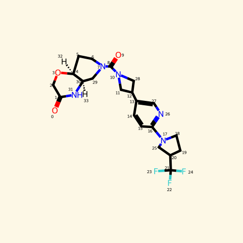 O=C1CO[C@H]2CCN(C(=O)N3CC(c4ccc(N5CCC(C(F)(F)F)C5)nc4)C3)C[C@H]2N1